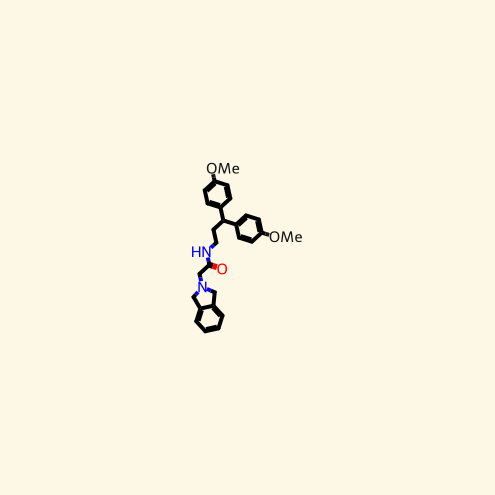 COc1ccc(C(CCNC(=O)CN2Cc3ccccc3C2)c2ccc(OC)cc2)cc1